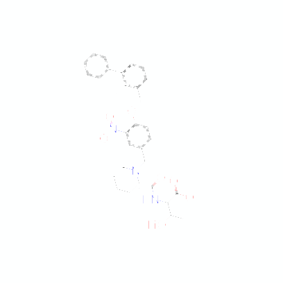 COC(=O)C(NC(=O)[C@@H]1CCCCN1Cc1ccc(OCc2cccc(-c3ccccc3)c2C)c([N+](=O)[O-])c1)C(C)O